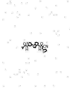 N#CC(=Cc1cccs1)C(=O)Nc1cccc2c1ccn2-c1ccnc(NC(=O)C2CC2)c1